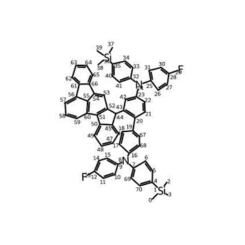 C[Si](C)(C)c1ccc(N(c2ccc(F)cc2)c2ccc(-c3ccc(N(c4ccc(F)cc4)c4ccc([Si](C)(C)C)cc4)cc3C3c4ccccc4-c4c3cc3c5c(cccc45)-c4ccccc4-3)cc2)cc1